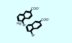 O=C([O-])c1ccc2c(Br)cccc2c1.O=C([O-])c1ccc2c(Br)cccc2c1.[Hg+2]